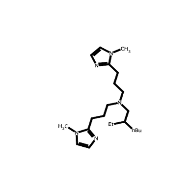 CCCCC(CC)CN(CCCc1nccn1C)CCCc1nccn1C